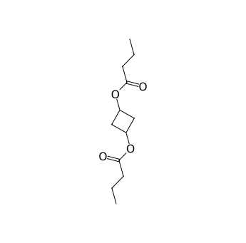 CCCC(=O)OC1CC(OC(=O)CCC)C1